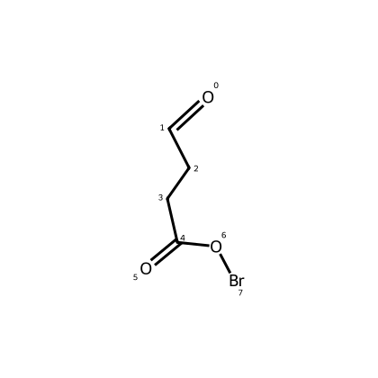 O=CCCC(=O)OBr